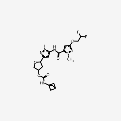 Cn1nc(OCC(F)F)cc1C(=O)Nc1cc(C2CC(OC(=O)NC34CC(C3)C4)CO2)n[nH]1